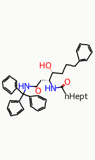 CCCCCCCC(=O)N[C@H](CC(=O)NC(c1ccccc1)(c1ccccc1)c1ccccc1)[C@H](O)CCCc1ccccc1